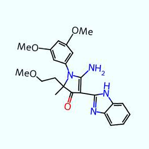 COCCC1(C)C(=O)C(c2nc3ccccc3[nH]2)=C(N)N1c1cc(OC)cc(OC)c1